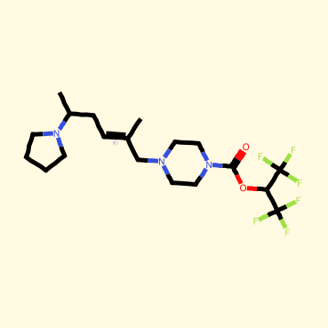 C/C(=C\CC(C)N1CCCC1)CN1CCN(C(=O)OC(C(F)(F)F)C(F)(F)F)CC1